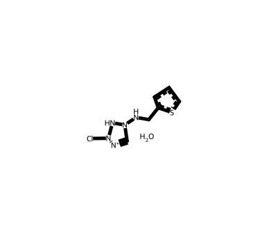 ClN1[N+]#CN(NCc2cccs2)N1.O